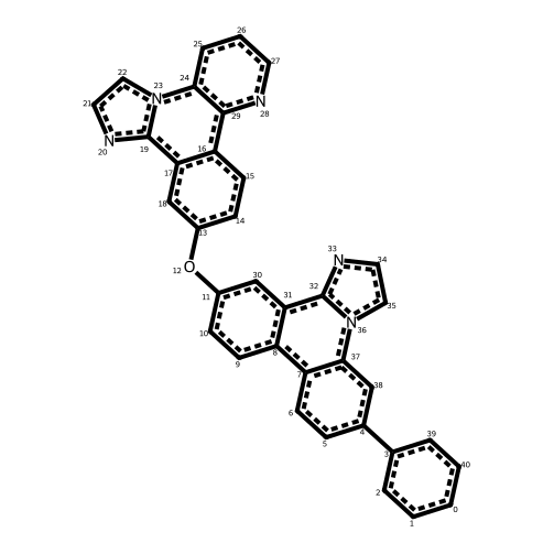 c1ccc(-c2ccc3c4ccc(Oc5ccc6c(c5)c5nccn5c5cccnc65)cc4c4nccn4c3c2)cc1